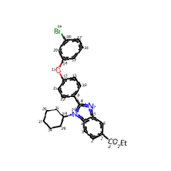 CCOC(=O)c1ccc2c(c1)nc(-c1ccc(Oc3cccc(Br)c3)cc1)n2C1CCCCC1